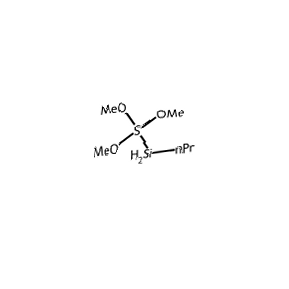 CCC[SiH2]S(OC)(OC)OC